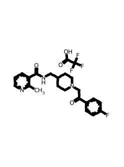 Cc1ncccc1C(=O)NCC1CCN(CC(=O)c2ccc(F)cc2)CC1.O=C(O)C(F)(F)F